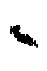 CN(C(=O)C1CCN(c2ccc(NC3CCC(=O)NC3=O)cc2Cl)CC1)C1CCN(Cc2ccc(-c3cn(C)c(=O)c4ccc(F)cc34)cc2OC(F)(F)F)CC1